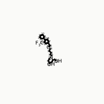 OCC1CC(O)CCN1CCCCCOCc1ccc(-c2ccccc2)c(C(F)(F)F)c1